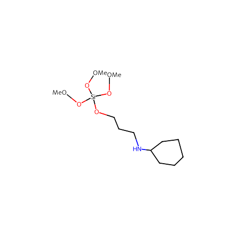 COO[Si](OCCCNC1CCCCC1)(OOC)OOC